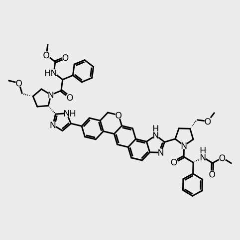 COC[C@H]1CC(c2nc3ccc4cc5c(cc4c3[nH]2)OCc2cc(-c3cnc([C@@H]4C[C@H](COC)CN4C(=O)C(NC(=O)OC)c4ccccc4)[nH]3)ccc2-5)N(C(=O)[C@H](NC(=O)OC)c2ccccc2)C1